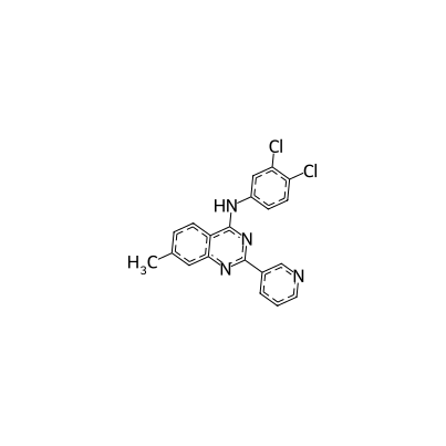 Cc1ccc2c(Nc3ccc(Cl)c(Cl)c3)nc(-c3cccnc3)nc2c1